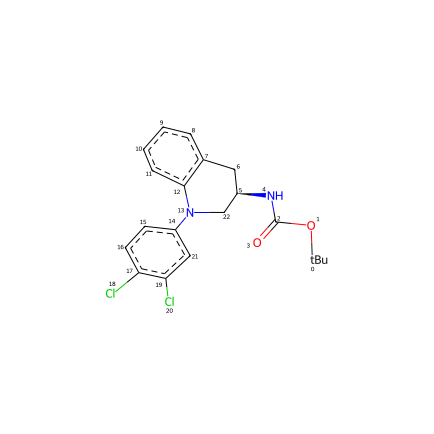 CC(C)(C)OC(=O)N[C@@H]1Cc2ccccc2N(c2ccc(Cl)c(Cl)c2)C1